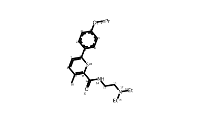 CCCOc1ccc(C2=C=CC(C)=C(C(=O)NCCN(CC)CC)S2)cc1